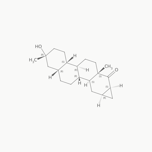 C[C@@]1(O)CC[C@H]2[C@H](CC[C@@H]3[C@@H]2CC[C@]2(C)C(=O)[C@H]4C[C@H]4C[C@@H]32)C1